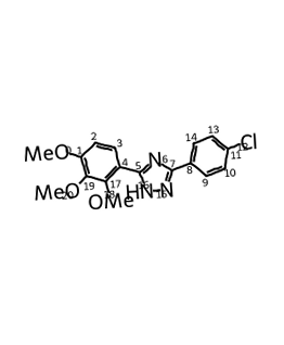 COc1ccc(-c2nc(-c3ccc(Cl)cc3)n[nH]2)c(OC)c1OC